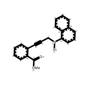 CCN(CC#Cc1ccccc1C(=O)OC)c1cccc2ccccc12